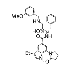 CCc1cn(C)c2c(N3CCCC3=O)cc(C(=O)N[C@@H](Cc3ccccc3)[C@@H](O)CNCc3cccc(OC)c3)cc12